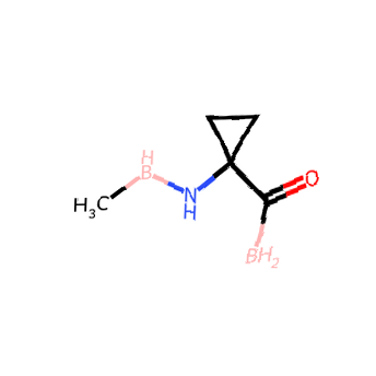 BC(=O)C1(NBC)CC1